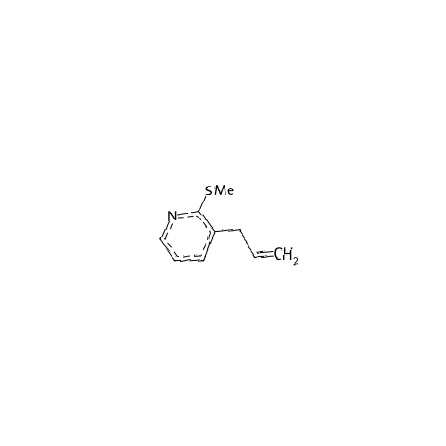 C=CCc1cccnc1SC